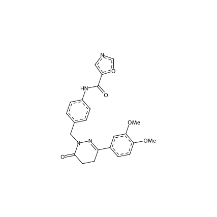 COc1ccc(C2=NN(Cc3ccc(NC(=O)c4cnco4)cc3)C(=O)CC2)cc1OC